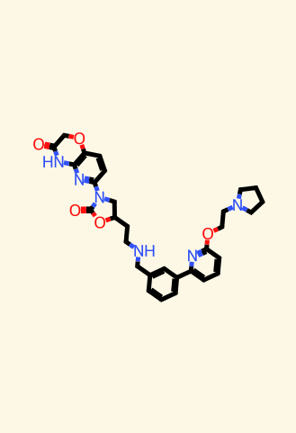 O=C1COc2ccc(N3CC(CCNCc4cccc(-c5cccc(OCCN6CCCC6)n5)c4)OC3=O)nc2N1